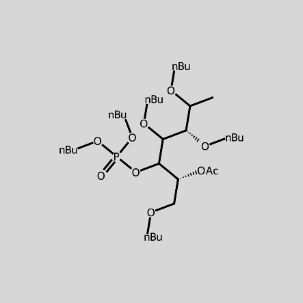 CCCCOC[C@@H](OC(C)=O)C(OP(=O)(OCCCC)OCCCC)C(OCCCC)[C@@H](OCCCC)C(C)OCCCC